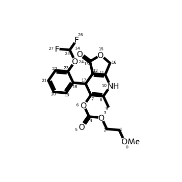 COCCOC(=O)OC1=C(C)NC2=C(C(=O)OC2)C1c1ccccc1OC(F)F